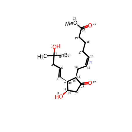 CCCCC(C)(O)CC=C[C@H]1[C@H](O)CC(=O)[C@@H]1C/C=C\CCCC(=O)OC